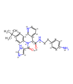 CC(C)(C)c1ccc(N(C(=O)c2cnc[nH]2)C(C(=O)NCCc2ccc(N)cc2)c2cccnc2)cc1